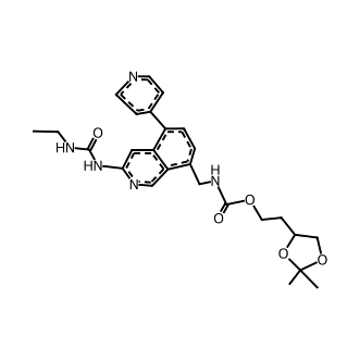 CCNC(=O)Nc1cc2c(-c3ccncc3)ccc(CNC(=O)OCCC3COC(C)(C)O3)c2cn1